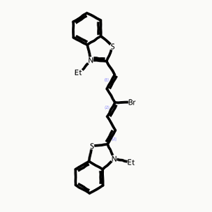 CCN1/C(=C/C=C(Br)/C=C/c2sc3ccccc3[n+]2CC)Sc2ccccc21